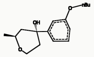 CCCCOc1cccc([C@@]2(O)CCO[C@@H](C)C2)c1